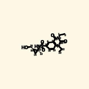 CCn1c(=O)c2cc(S(=O)(=O)N[C@@]3(C)C[C@@H]3CO)ccc2n(CC)c1=O